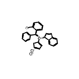 Clc1ccccc1[C](c1ccccc1)=[Zr+2]([C]1=CC=CC1)[CH]1C=Cc2ccccc21.[Cl-].[Cl-]